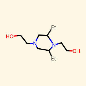 CCC1CN(CCO)CC(CC)N1CCO